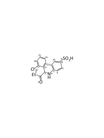 CCC(=O)C(Nc1ccc(S(=O)(=O)O)cc1)c1ccccc1Cl